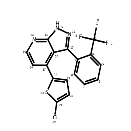 FC(F)(F)c1ccccc1-c1n[nH]c2nccc(-c3ccc(Cl)s3)c12